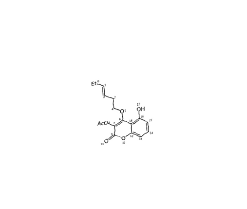 CC/C=C/CCOc1c(OC(C)=O)c(=O)oc2cccc(O)c12